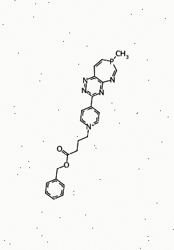 CP1C=Cc2nnc(-c3cc[n+](CCCC(=O)OCc4ccccc4)cc3)nc2N=C1